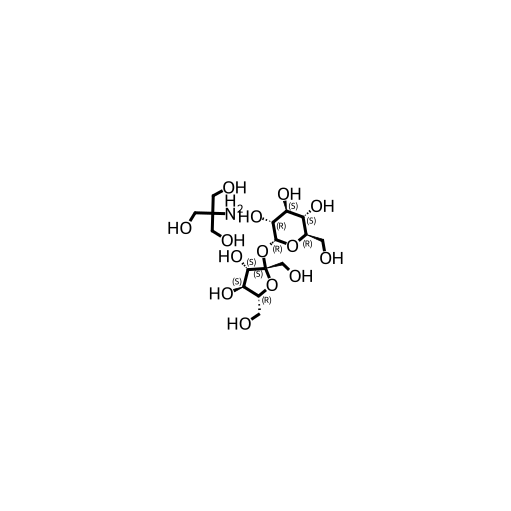 NC(CO)(CO)CO.OC[C@H]1O[C@@](CO)(O[C@H]2O[C@H](CO)[C@@H](O)[C@H](O)[C@H]2O)[C@@H](O)[C@@H]1O